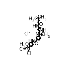 Cc1cc(NC(=O)c2ccc3c(c2)nc(-c2cc(NC(=O)CC[S+](C)C)c[nH]2)n3C)ccc1N(CCCl)CCCl.[Cl-]